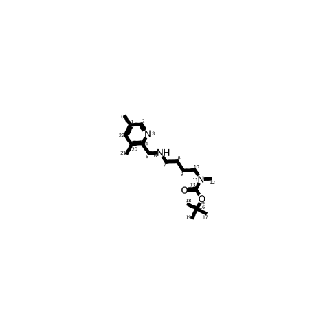 Cc1cnc(CNCCCCN(C)C(=O)OC(C)(C)C)c(C)c1